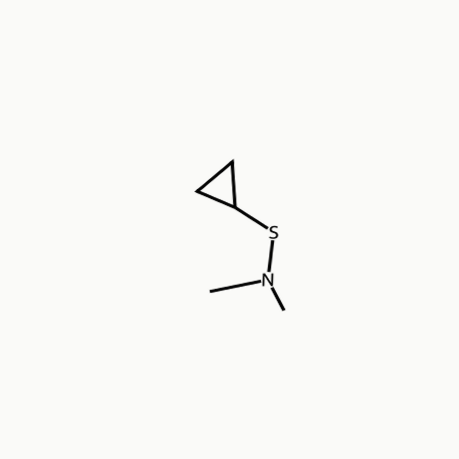 CN(C)SC1CC1